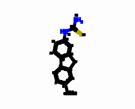 CNc1ccc2c(c1)Cc1cc(NC(N)=S)ccc1-2